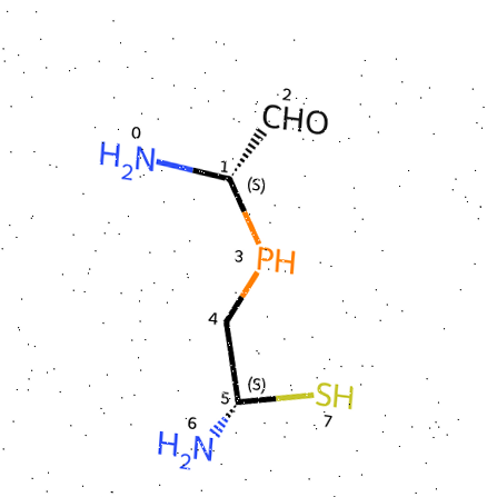 N[C@H](C=O)PC[C@@H](N)S